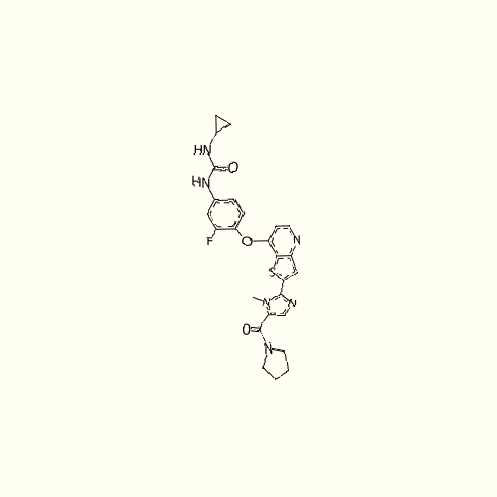 Cn1c(C(=O)N2CCCC2)cnc1-c1cc2nccc(Oc3ccc(NC(=O)NC4CC4)cc3F)c2s1